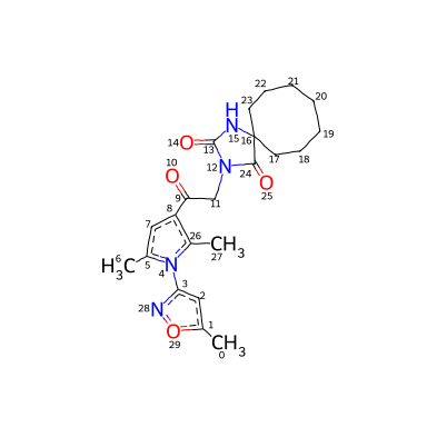 Cc1cc(-n2c(C)cc(C(=O)CN3C(=O)NC4(CCCCCCC4)C3=O)c2C)no1